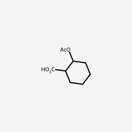 CC(=O)OC1CCCCC1C(=O)O